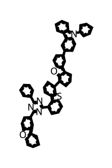 c1ccc(-c2nc(-c3ccc4oc5ccccc5c4c3)nc(-c3cccc4sc5c(-c6cccc7c6oc6ccc(-c8ccc9c(c8)c8ccccc8n9-c8ccccc8)cc67)cccc5c34)n2)cc1